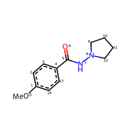 COc1ccc(C(=O)NN2CCCC2)cc1